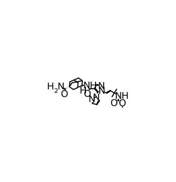 COC(=O)NC(C)(C)/C=C/n1ncc(C(=O)N[C@H]2C3CC4CC2C[C@](C(N)=O)(C4)C3)c1-n1cccn1